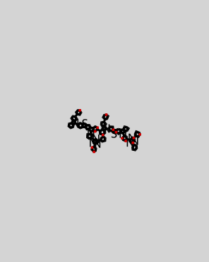 c1ccc(-c2ccc3c4ccccc4n(-c4ccc5c(c4)sc4cc6c7ccc(-c8cccc9c8c8ccc(-c%10ccccc%10)cc8n9-c8ccc9c(c8)sc8cc%10c(cc89)c8ccccc8n%10-c8cccc(-c9nc(-c%10ccccc%10)nc(-c%10ccccc%10)n9)c8)cc7n(-c7cccc(-c8nc(-c9ccccc9)nc(-c9ccccc9)n8)c7)c6cc45)c3c2)cc1